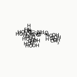 CCNC(=O)CCCCC[C@H](NC(=O)CCCCC(=O)NCCO[C@@H]1O[C@@H](C)[C@@H](O)[C@@H](O)[C@@H]1O)C(=O)NCCO[C@H]1O[C@H](CO[C@H]2O[C@H](CO)[C@@H](O)[C@H](O)[C@@H]2O)[C@@H](O)[C@H](O[C@H]2O[C@H](CO)[C@@H](O)[C@H](O)[C@@H]2O)[C@@H]1O